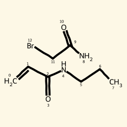 C=CC(=O)NCCC.NC(=O)CBr